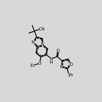 CCOc1cc2nc(C(C)(C)C#N)cn2cc1NC(=O)c1coc(C(C)C)n1